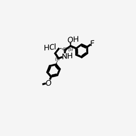 COc1ccc([C@@H]2CC[C@H]([C@@H](O)c3cccc(F)c3)N2)cc1.Cl